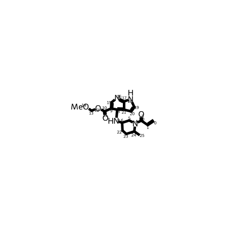 C=CC(=O)N1CC(Nc2c(C(=O)OCOC)cnc3[nH]ccc23)CCC1C